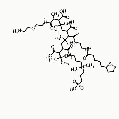 CC(C(=O)NCCOCCN)C(C(=O)O)C(C)(C)CC(C(=O)O)C(C(=O)NCCNC(=O)CCCCC1CCSS1)C(C)(C)CC(C(=O)NCCC[N+](C)(C)CCCS(=O)(=O)O)C(C(=O)O)C(C)(C)C